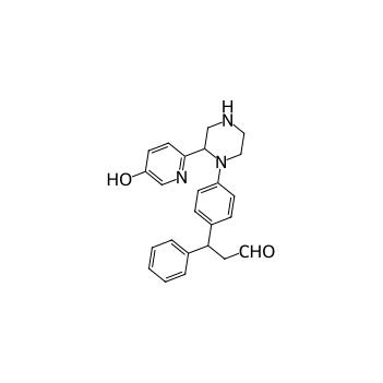 O=CCC(c1ccccc1)c1ccc(N2CCNCC2c2ccc(O)cn2)cc1